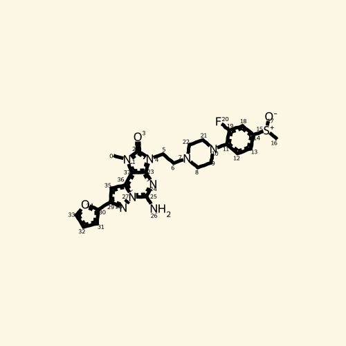 Cn1c(=O)n(CCN2CCN(c3ccc([S+](C)[O-])cc3F)CC2)c2nc(N)n3nc(-c4ccco4)cc3c21